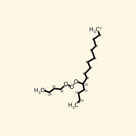 CCCCCCCCCCC(CCCC)OOOCCCC